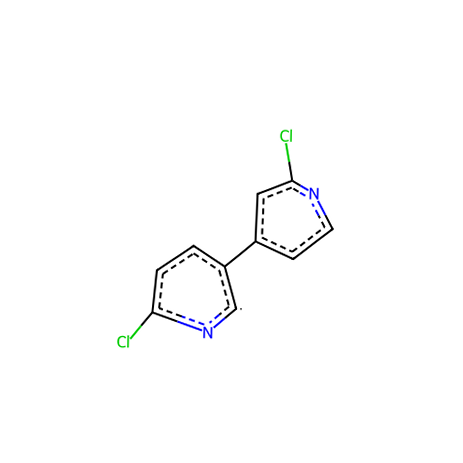 Clc1ccc(-c2ccnc(Cl)c2)[c]n1